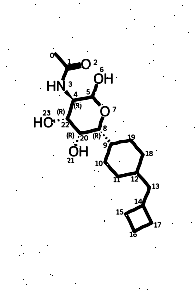 CC(=O)N[C@H]1C(O)O[C@H](C2CCC(CC3CCC3)CC2)[C@H](O)[C@@H]1O